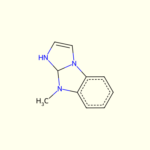 CN1c2ccccc2N2C=CNC12